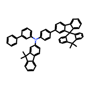 CC1(C)c2ccccc2-c2ccc(N(c3ccc(-c4ccc5c(c4)C4(c6ccccc6-5)c5ccccc5C(C)(C)c5ccccc54)cc3)c3cccc(-c4ccccc4)c3)cc21